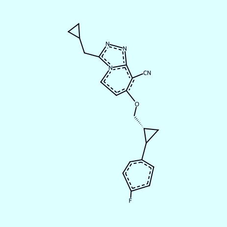 N#Cc1c(OC[C@@H]2CC2c2ccc(F)cc2)ccn2c(CC3CC3)nnc12